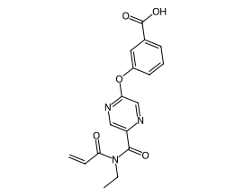 C=CC(=O)N(CC)C(=O)c1cnc(Oc2cccc(C(=O)O)c2)cn1